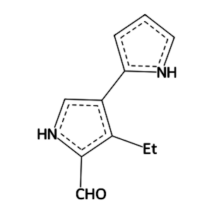 CCc1c(-c2ccc[nH]2)c[nH]c1C=O